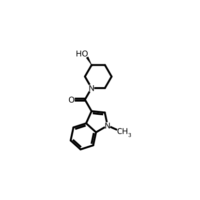 Cn1cc(C(=O)N2CCC[C@H](O)C2)c2ccccc21